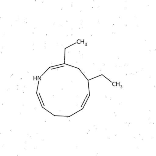 CC/C1=C/N/C=C\CCC=CC(CC)C1